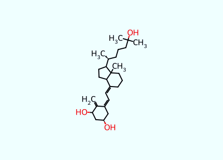 C=C1/C(=C\C=C2/CCCC3(C)C2CCC3[C@@H](C)CCCC(C)(C)O)C[C@@H](O)CC1O